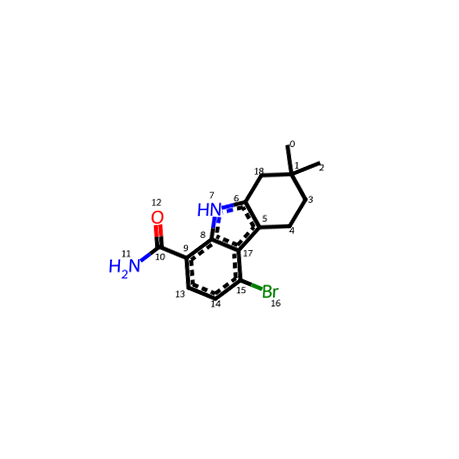 CC1(C)CCc2c([nH]c3c(C(N)=O)ccc(Br)c23)C1